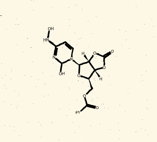 CC(C)C(=O)OC[C@H]1O[C@@H](N2C=CC(NO)=NC2O)[C@@H]2OC(=O)O[C@@H]21